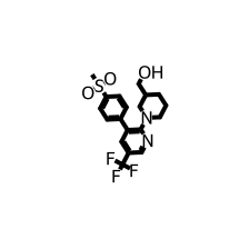 CS(=O)(=O)c1ccc(-c2cc(C(F)(F)F)cnc2N2CCCC(CO)C2)cc1